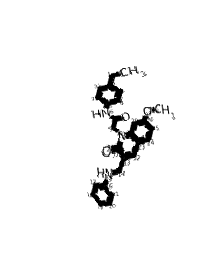 CCc1ccc(NC(=O)Cn2c(=O)c(CNc3ccccc3)cc3ccc(OC)cc32)cc1